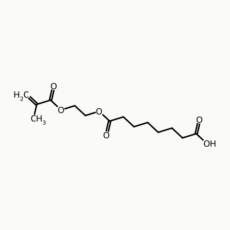 C=C(C)C(=O)OCCOC(=O)CCCCCCC(=O)O